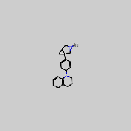 CCN1CC2CC2(C2=CCC(N3CCCC4=C3C=CCC4)C=C2)C1